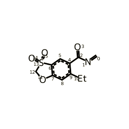 C=NC(=O)c1cc2c(cc1CC)OCS2(=O)=O